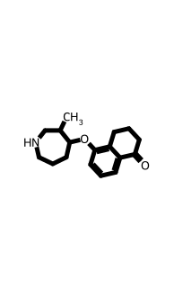 CC1CNCCCC1Oc1cccc2c1CCCC2=O